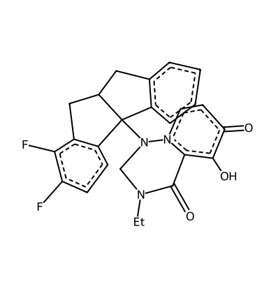 CCN1CN(C23c4ccccc4CC2Cc2c3ccc(F)c2F)n2ccc(=O)c(O)c2C1=O